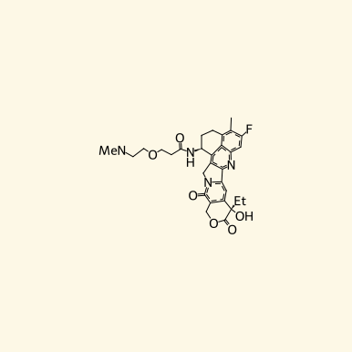 CC[C@@]1(O)C(=O)OCc2c1cc1n(c2=O)Cc2c-1nc1cc(F)c(C)c3c1c2[C@@H](NC(=O)CCOCCNC)CC3